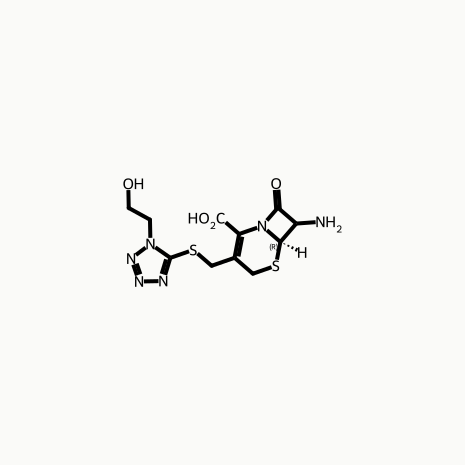 NC1C(=O)N2C(C(=O)O)=C(CSc3nnnn3CCO)CS[C@H]12